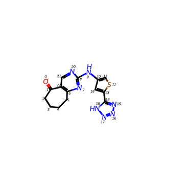 O=C1CCCCc2nc(Nc3csc(-c4nnn[nH]4)c3)ncc21